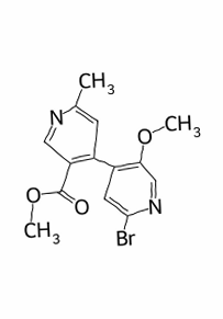 COC(=O)c1cnc(C)cc1-c1cc(Br)ncc1OC